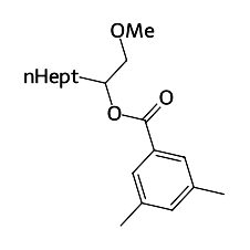 CCCCCCCC(COC)OC(=O)c1cc(C)cc(C)c1